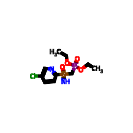 CCOP(=O)(CS(=N)(=O)c1ccc(Cl)cn1)OCC